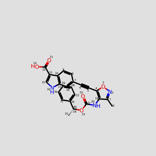 Cc1noc(C#Cc2ccc3c(C(=O)O)c[nH]c3c2)c1NC(=O)O[C@H](C)c1ccccc1